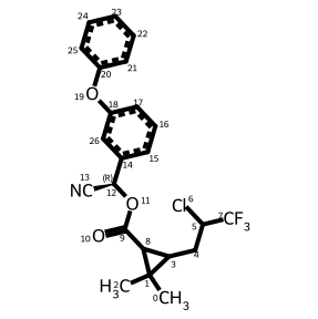 CC1(C)C(CC(Cl)C(F)(F)F)C1C(=O)O[C@@H](C#N)c1cccc(Oc2ccccc2)c1